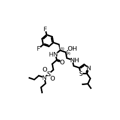 CCCN(CCC)S(=O)(=O)CCC(=O)N[C@@H](Cc1cc(F)cc(F)c1)[C@H](O)CNCc1cnc(CC(C)C)s1